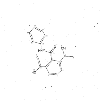 CC(O)c1cccc(C(=O)O)c1C(=O)Nc1ccccc1